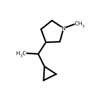 CC(C1CC1)C1CCN(C)C1